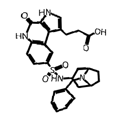 O=C(O)CCc1c[nH]c2c(=O)[nH]c3ccc(S(=O)(=O)NC4CC5CCC(C4)N5Cc4ccccc4)cc3c12